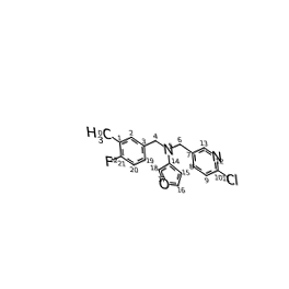 Cc1cc(CN(Cc2ccc(Cl)nc2)c2ccoc2)ccc1F